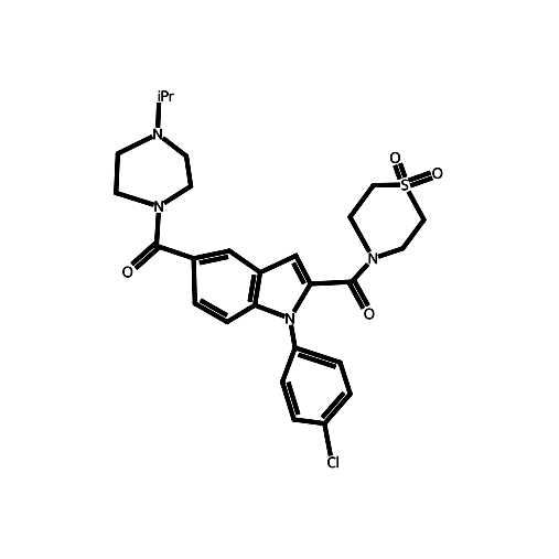 CC(C)N1CCN(C(=O)c2ccc3c(c2)cc(C(=O)N2CCS(=O)(=O)CC2)n3-c2ccc(Cl)cc2)CC1